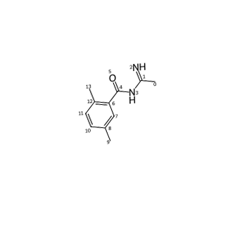 CC(=N)NC(=O)c1cc(C)ccc1C